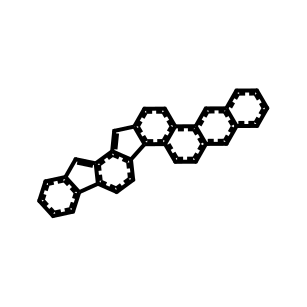 C1=c2c(ccc3c2=Cc2ccc4c(ccc5cc6ccccc6cc54)c2-3)-c2ccccc21